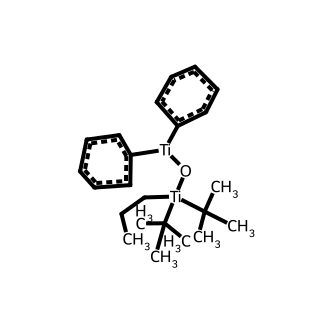 CC[CH2][Ti]([O][Ti]([c]1ccccc1)[c]1ccccc1)([C](C)(C)C)[C](C)(C)C